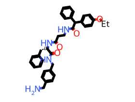 CCOc1ccc(C(C(=O)NCCC(=O)N[C@@H](Cc2ccccc2)C(=O)NCc2ccc(CN)cc2)c2ccccc2)cc1